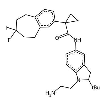 CC(C)(C)C1Cc2cc(NC(=O)C3(c4ccc5c(c4)CCC(F)(F)CC5)CC3)ccc2N1CCN